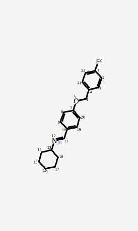 Fc1ccc(COc2ccc(/C=N/C3CCCCC3)cc2)cc1